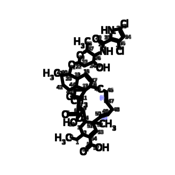 CCC1CC23OC(=O)C(=C2O)C(=O)C2(CC)C(C=CC4C(OC5CC(O)C(NC(=O)c6[nH]c(Cl)cc6Cl)C(C)O5)C(C)CCC42)C/C=C/C/C=C/C3(C)C=C1C(=O)O